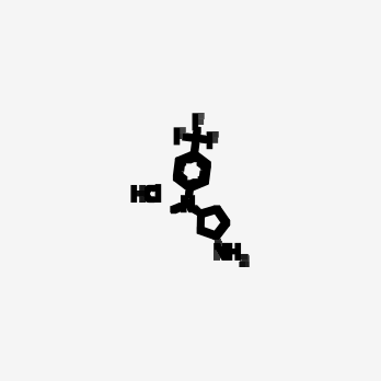 CN(c1ccc(C(F)(F)F)cc1)[C@H]1CC[C@H](N)C1.Cl